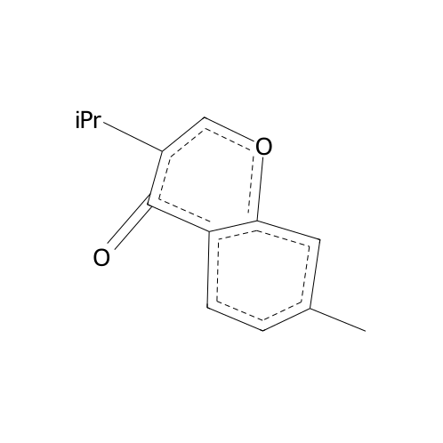 Cc1ccc2c(=O)c(C(C)C)coc2c1